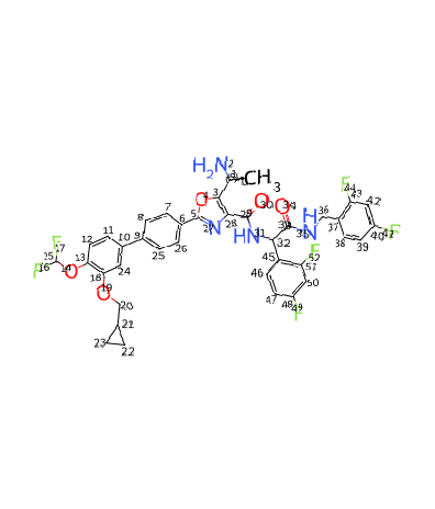 C[C@H](N)c1oc(-c2ccc(-c3ccc(OC(F)F)c(OCC4CC4)c3)cc2)nc1C(=O)NC(C(=O)NCc1ccc(F)cc1F)c1ccc(F)cc1F